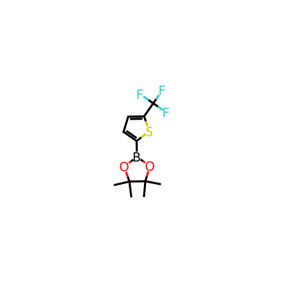 CC1(C)OB(c2ccc(C(F)(F)F)s2)OC1(C)C